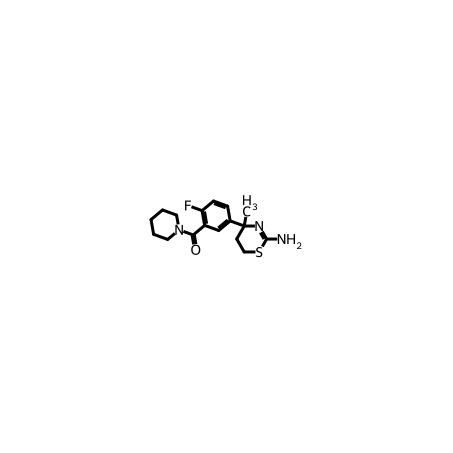 CC1(c2ccc(F)c(C(=O)N3CCCCC3)c2)CCSC(N)=N1